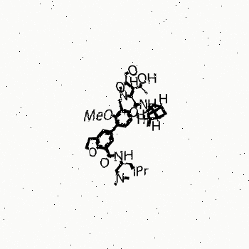 COc1c(CN2O[C@@H](CO)[C@@H]([C@H](C)O)[C@H]2C(=O)N[C@@H]2C[C@H]3C[C@@H]([C@@H]2C)C3(C)C)cccc1-c1cc2c(c(C(=O)N[C@@H](CC(C)C)CN(C)C)c1)OCC2